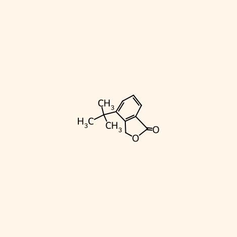 CC(C)(C)c1cccc2c1COC2=O